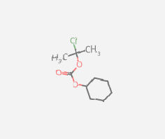 CC(C)(Cl)OC(=O)OC1CCCCC1